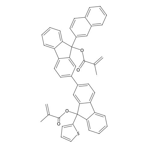 C=C(C)C(=O)OC1(c2ccc3ccccc3c2)c2ccccc2-c2ccc(-c3ccc4c(c3)C(OC(=O)C(=C)C)(c3cccs3)c3ccccc3-4)cc21